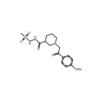 COc1ccc(C(=O)CN2CCCC(C(=O)NNS(C)(=O)=O)C2)cc1